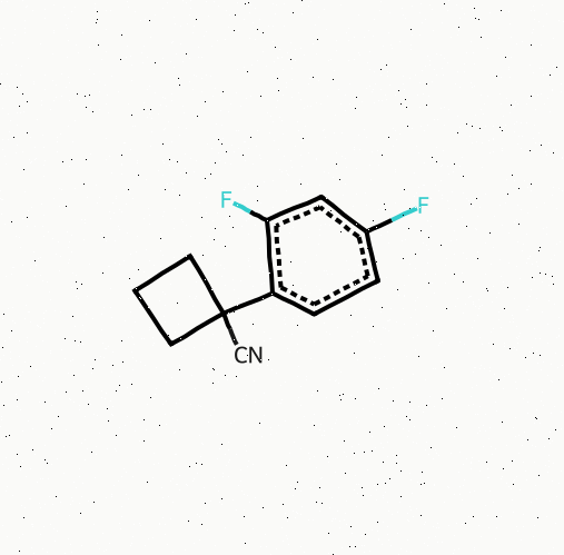 N#CC1(c2ccc(F)cc2F)CCC1